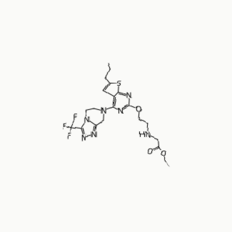 CCCc1cc2c(N3CCn4c(nnc4C(F)(F)F)C3)nc(OCCNCC(=O)OCC)nc2s1